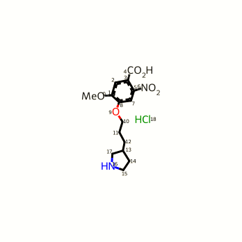 COc1cc(C(=O)O)c([N+](=O)[O-])cc1OCCCC1CCNC1.Cl